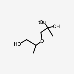 CC(CO)OCC(C)(O)C(C)(C)C